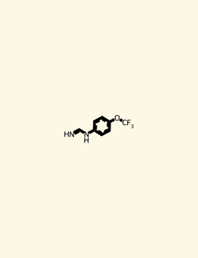 N=CNc1ccc(OC(F)(F)F)cc1